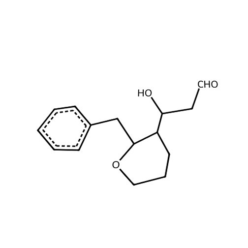 O=CCC(O)C1CCCOC1Cc1ccccc1